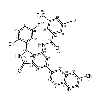 N#Cc1cnc2ccc(-c3cc(NC(=O)c4cc(F)cc(C(F)(F)F)c4)c4c(c3)C(=O)NC4c3cc(F)ccc3Cl)cc2c1